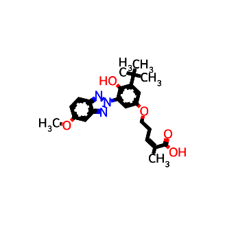 COc1ccc2nn(-c3cc(OCCC=C(C)C(=O)O)cc(C(C)(C)C)c3O)nc2c1